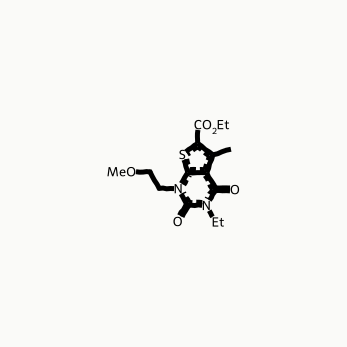 CCOC(=O)c1sc2c(c1C)c(=O)n(CC)c(=O)n2CCOC